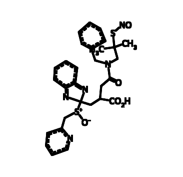 CC(C)(CN(Cc1ccccc1)C(=O)CC(CC1([S+]([O-])Cc2ccccn2)N=c2ccccc2=N1)C(=O)O)SN=O